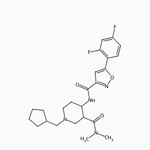 CN(C)C(=O)C1CN(CC2CCCC2)CCC1NC(=O)c1cc(-c2ccc(F)cc2F)on1